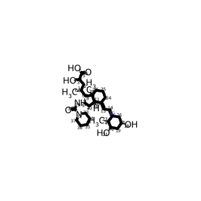 C[C@H](CC(O)C(=O)O)[C@H]1CC[C@H]2C(=C/C=C3/C[C@H](O)C[C@@H](O)[C@@H]3C)CCC[C@]12C.NC(=O)N1CCCCC1